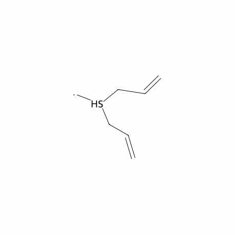 [CH2][SH](CC=C)CC=C